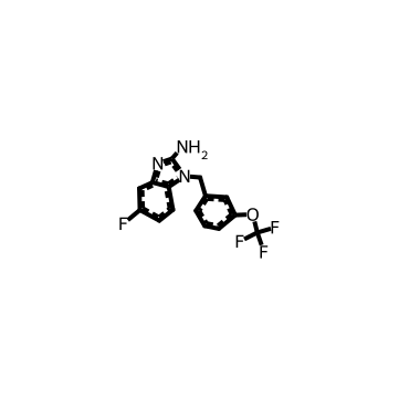 Nc1nc2cc(F)ccc2n1Cc1cccc(OC(F)(F)F)c1